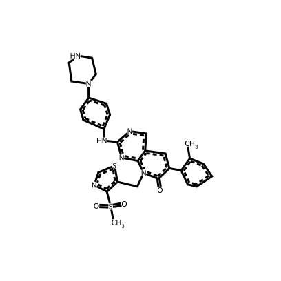 Cc1ccccc1-c1cc2cnc(Nc3ccc(N4CCNCC4)cc3)nc2n(Cc2scnc2S(C)(=O)=O)c1=O